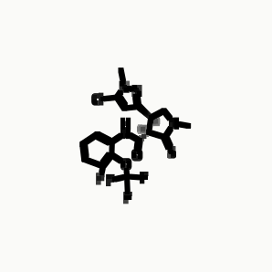 CN1C[C@H](c2cc(Cl)n(C)n2)[C@@H](C(=O)Nc2cccc(F)c2OC(F)(F)F)C1=S